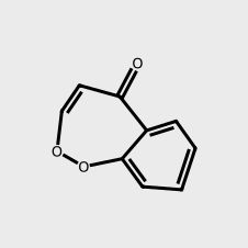 O=C1C=COOc2ccccc21